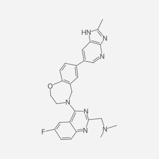 Cc1nc2ncc(-c3ccc4c(c3)CN(c3nc(CN(C)C)nc5ccc(F)cc35)CCO4)cc2[nH]1